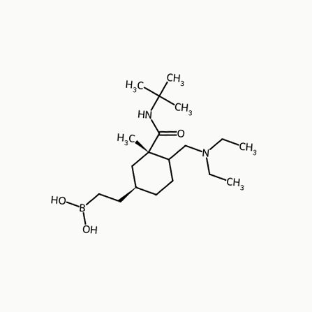 CCN(CC)CC1CC[C@@H](CCB(O)O)C[C@]1(C)C(=O)NC(C)(C)C